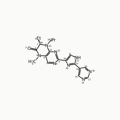 CC[C@@H]1C(=O)N(C)c2cnc(-c3c[nH]c(-c4cncnc4)n3)nc2N1C(C)C